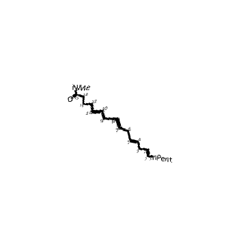 CCCCCC=CCC=CCC=CCC=CCCCC(=O)NC